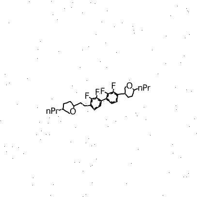 CCCC1CCC(CCc2ccc(-c3ccc(C4CCC(CCC)OC4)c(F)c3F)c(F)c2F)OC1